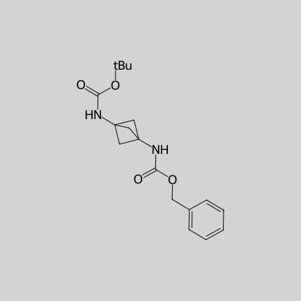 CC(C)(C)OC(=O)NC12CC(NC(=O)OCc3ccccc3)(C1)C2